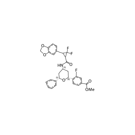 COC(=O)c1ccc([C@H]2C[C@@H](NC(=O)C3C(c4ccc5c(c4)OCO5)C3(F)F)C[C@@H](c3ccccc3)O2)c(F)c1